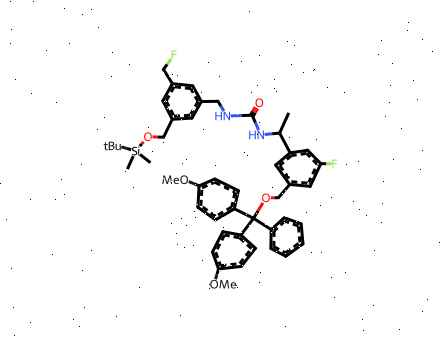 COc1ccc(C(OCc2cc(F)cc(C(C)NC(=O)NCc3cc(CF)cc(CO[Si](C)(C)C(C)(C)C)c3)c2)(c2ccccc2)c2ccc(OC)cc2)cc1